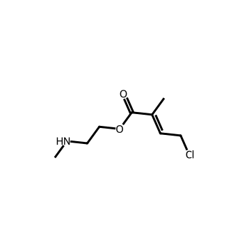 CNCCOC(=O)C(C)=CCCl